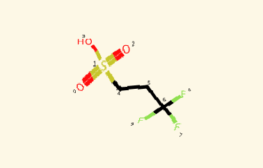 O=S(=O)(O)[CH]CC(F)(F)F